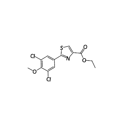 CCOC(=O)c1csc(-c2cc(Cl)c(OC)c(Cl)c2)n1